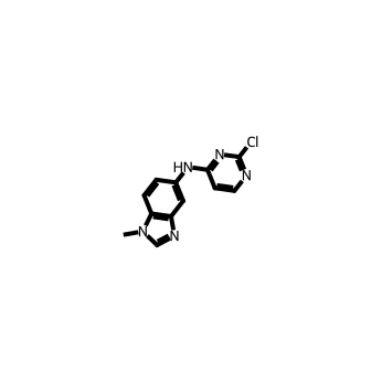 Cn1cnc2cc(Nc3ccnc(Cl)n3)ccc21